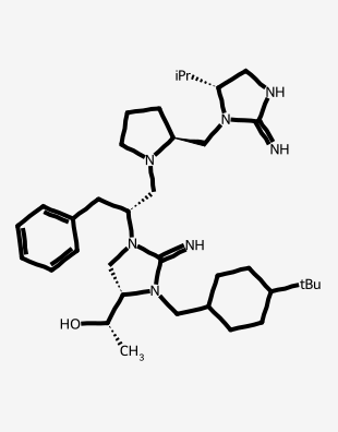 CC(C)[C@@H]1CNC(=N)N1C[C@@H]1CCCN1C[C@@H](Cc1ccccc1)N1C[C@@H]([C@H](C)O)N(CC2CCC(C(C)(C)C)CC2)C1=N